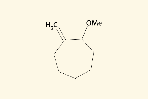 C=C1CCCCCC1OC